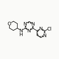 Clc1nccc(-c2ncnc(NC3CCOCC3)n2)n1